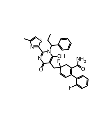 CCC(c1ccccc1)n1c(-c2nc(C)cs2)nc(=O)c(CC2(F)C=CC(c3ccccc3F)=C(C(N)=O)C2)c1O